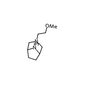 COCCN1CC2CCC(C1)N2C(C)C